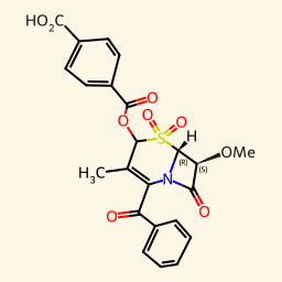 CO[C@H]1C(=O)N2C(C(=O)c3ccccc3)=C(C)C(OC(=O)c3ccc(C(=O)O)cc3)S(=O)(=O)[C@H]12